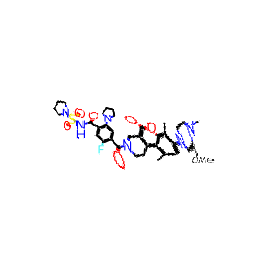 COC[C@H]1CN(c2cc(C)c3c4c(c(=O)oc3c2C)CN(C(=O)c2cc(N3CCCC3)c(C(=O)NS(=O)(=O)N3CCCC3)cc2F)CC4)CCN1C